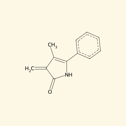 C=C1C(=O)NC(c2ccccc2)=C1C